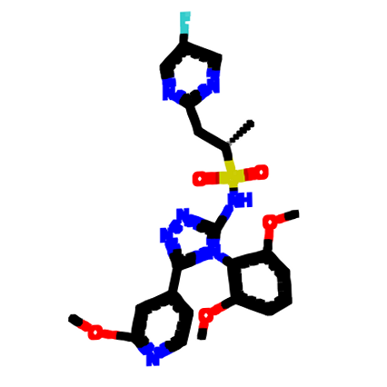 COc1cc(-c2nnc(NS(=O)(=O)[C@@H](C)Cc3ncc(F)cn3)n2-c2c(OC)cccc2OC)ccn1